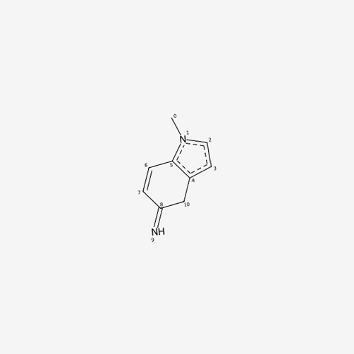 Cn1ccc2c1C=CC(=N)C2